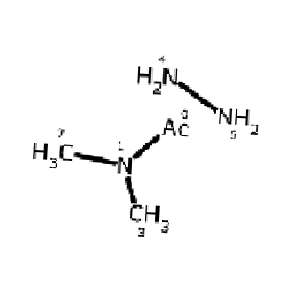 CC(=O)N(C)C.NN